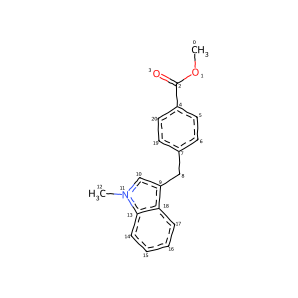 COC(=O)c1ccc(Cc2cn(C)c3ccccc23)cc1